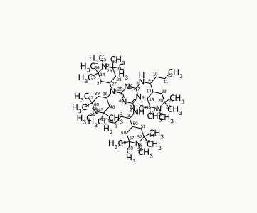 CCCC(Nc1nc(NC(CCC)C2CC(C)(C)N(C)C(C)(C)C2)nc(N(C2CC(C)(C)N(C)C(C)(C)C2)C2CC(C)(C)N(C)C(C)(C)C2)n1)C1CC(C)(C)N(C)C(C)(C)C1